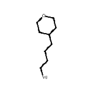 O=NCCCCC1CCOCC1